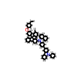 C=Cc1ccc(Oc2ccc(C3(c4cc(C)ccc4C)c4ccccc4-c4ccc(N(c5ccc(-c6ccc7c(c6)c6ccccc6n7-c6ccccc6)cc5)c5cccc6ccccc56)cc43)cc2)cc1